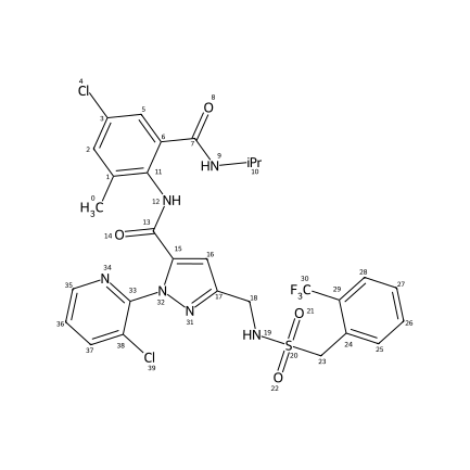 Cc1cc(Cl)cc(C(=O)NC(C)C)c1NC(=O)c1cc(CNS(=O)(=O)Cc2ccccc2C(F)(F)F)nn1-c1ncccc1Cl